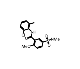 CNS(=O)(=O)c1ccc(OC)c(C(=O)Nc2c(C)cccc2Cl)c1